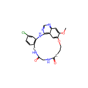 COc1cc2ncnc3c2cc1OCCCC(=O)NCC(=O)NCc1ccc(Cl)cc1N3